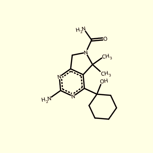 CC1(C)c2c(nc(N)nc2C2(O)CCCCC2)CN1C(N)=O